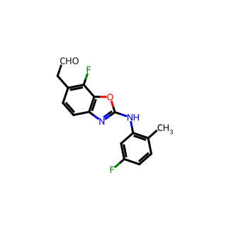 Cc1ccc(F)cc1Nc1nc2ccc(CC=O)c(F)c2o1